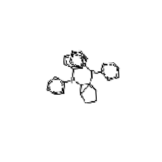 c1ccc(P(c2ccccc2)C2C3CCC(C3)C2P(c2ccccc2)c2ccccc2)cc1